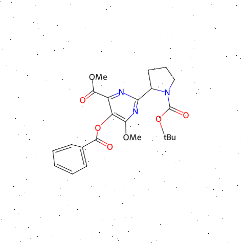 COC(=O)c1nc(C2CCCN2C(=O)OC(C)(C)C)nc(OC)c1OC(=O)c1ccccc1